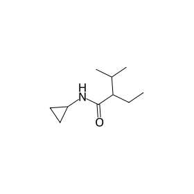 CCC(C(=O)NC1CC1)C(C)C